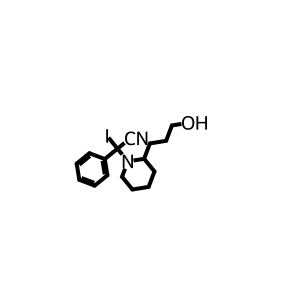 N#CC(I)(c1ccccc1)N1CCCCC1CCCO